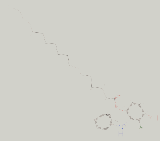 CCCCCCCCCCCCCCCCCC(=O)Oc1ccc(O)c(Cl)c1Nc1ccccc1